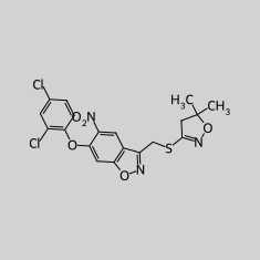 CC1(C)CC(SCc2noc3cc(Oc4ccc(Cl)cc4Cl)c([N+](=O)[O-])cc23)=NO1